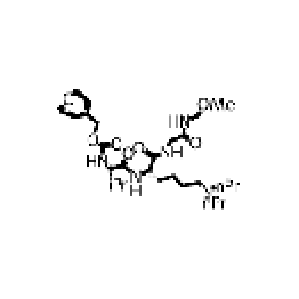 CCCN(CCC)CCCC[C@H](NC(=O)[C@@H](NC(=O)OCc1ccccc1)C(C)C)C(=O)NCC(=O)NCOC